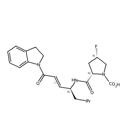 CC(C)C[C@@H](/C=C/C(=O)N1CCc2ccccc21)NC(=O)[C@@H]1C[C@H](F)CN1C(=O)O